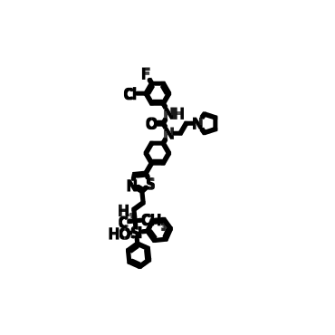 CC(C)(CCc1ncc(C2=CCC(N(CCN3CCCC3)C(=O)Nc3ccc(F)c(Cl)c3)CC2)s1)[Si](O)(c1ccccc1)c1ccccc1